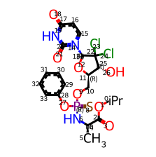 CC(C)OC(=O)[C@@H](C)N[P@@](=S)(OC[C@H]1O[C@@H](n2ccc(=O)[nH]c2=O)C(Cl)(Cl)[C@@H]1O)Oc1ccccc1